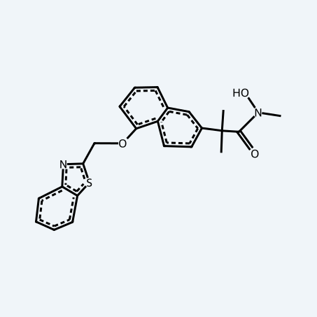 CN(O)C(=O)C(C)(C)c1ccc2c(OCc3nc4ccccc4s3)cccc2c1